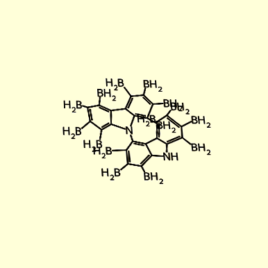 Bc1c(B)c(B)c2c([nH]c3c(B)c(B)c(B)c(-n4c5c(B)c(B)c(B)c(B)c5c5c(B)c(B)c(B)c(B)c54)c32)c1B